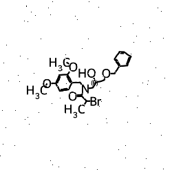 COc1ccc(CN(C[C@@H](O)COCc2ccccc2)C(=O)C(C)Br)c(OC)c1